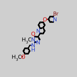 COc1ccc(CNc2ncc(-c3ccc4cc(Oc5ccnc(Br)c5)ccc4n3)c(=O)n2C)cc1